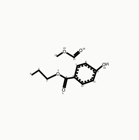 CCCOC(=O)c1ccc(O)cc1.COC=O